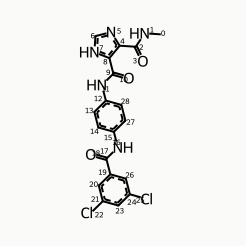 CNC(=O)c1nc[nH]c1C(=O)Nc1ccc(NC(=O)c2cc(Cl)cc(Cl)c2)cc1